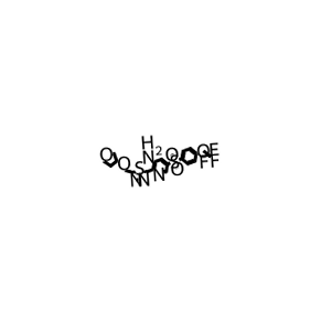 Nc1cc(S(=O)(=O)c2ccc(OC(F)(F)F)cc2)cnc1-c1nnc(COC2CCOC2)s1